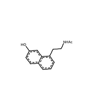 CC(=O)NCCc1cccc2ccc(O)cc12